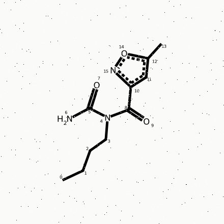 CCCCN(C(N)=O)C(=O)c1cc(C)on1